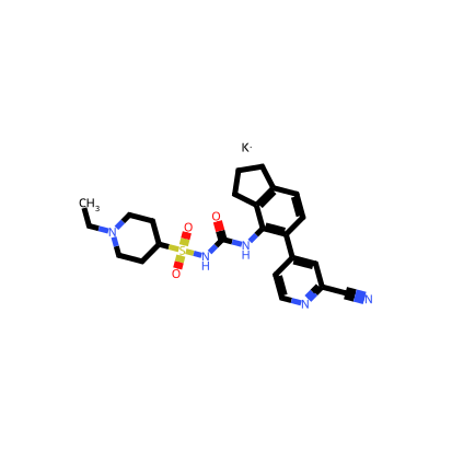 CCN1CCC(S(=O)(=O)NC(=O)Nc2c(-c3ccnc(C#N)c3)ccc3c2CCC3)CC1.[K]